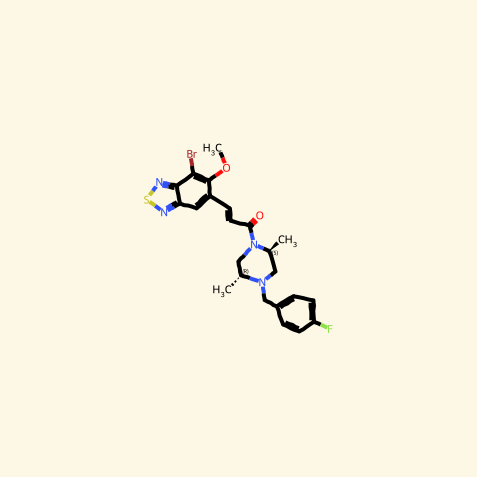 COc1c(C=CC(=O)N2C[C@@H](C)N(Cc3ccc(F)cc3)C[C@@H]2C)cc2nsnc2c1Br